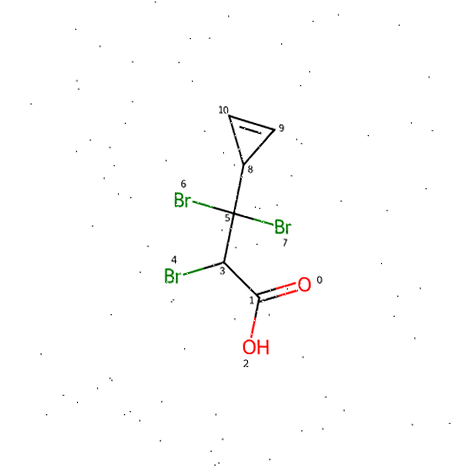 O=C(O)C(Br)C(Br)(Br)C1C=C1